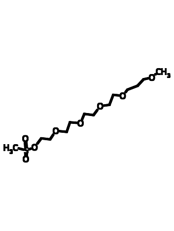 COCCCOCCOCCOCCOCCOS(C)(=O)=O